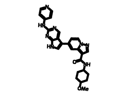 COC1CCC(NC(=O)c2cnn3ccc(-c4c[nH]c5nc(Nc6ccncc6)ncc45)cc23)CC1